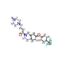 CN1CCN(C/C=C/C(=O)N2CCc3ccc(Oc4ccc(C(F)(F)F)cc4)cc3C2)CC1